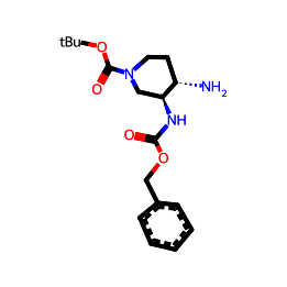 CC(C)(C)OC(=O)N1CC[C@H](N)[C@@H](NC(=O)OCc2ccccc2)C1